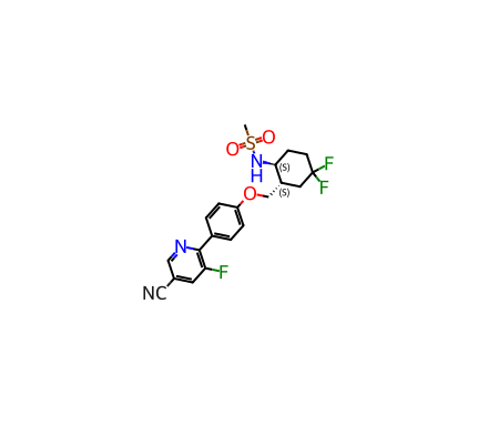 CS(=O)(=O)N[C@H]1CCC(F)(F)C[C@@H]1COc1ccc(-c2ncc(C#N)cc2F)cc1